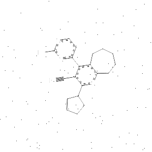 C#Cc1c(C2CCCC2)nc2c(c1-c1ccnc(C(C)C)n1)CCCCC2